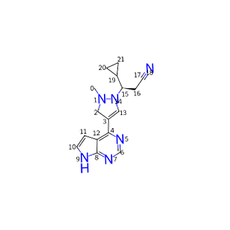 CN1CC(c2ncnc3[nH]ccc23)=CN1[C@H](CC#N)C1CC1